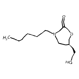 CCCCCN1C[C@H](CO)OC1=O